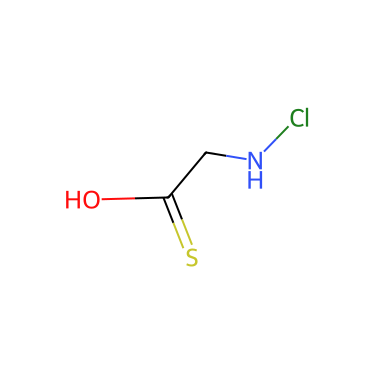 OC(=S)CNCl